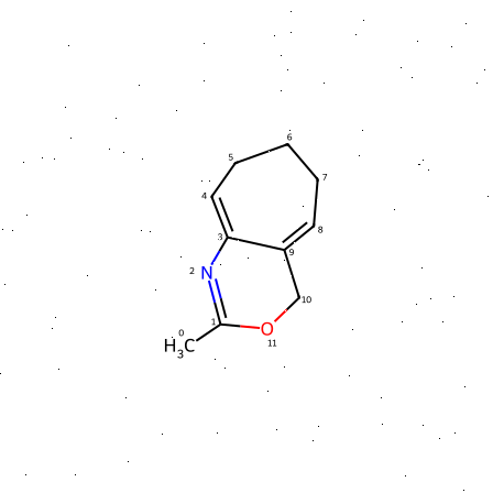 CC1=NC2=CCCCC=C2CO1